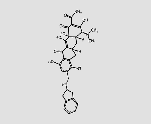 CN(C)[C@@H]1C(O)=C(C(N)=O)C(=O)[C@@]2(O)C(O)=C3C(=O)c4c(O)cc(CNC5Cc6ccccc6C5)c(Cl)c4C[C@H]3C[C@@H]12